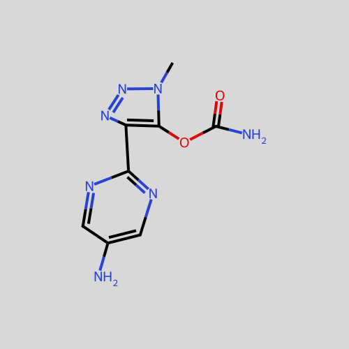 Cn1nnc(-c2ncc(N)cn2)c1OC(N)=O